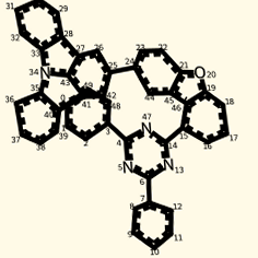 c1ccc(-c2nc(-c3ccccc3)nc(-c3cccc4oc5ccc(-c6cc7c8ccccc8n8c9ccccc9c(c6)c78)cc5c34)n2)cc1